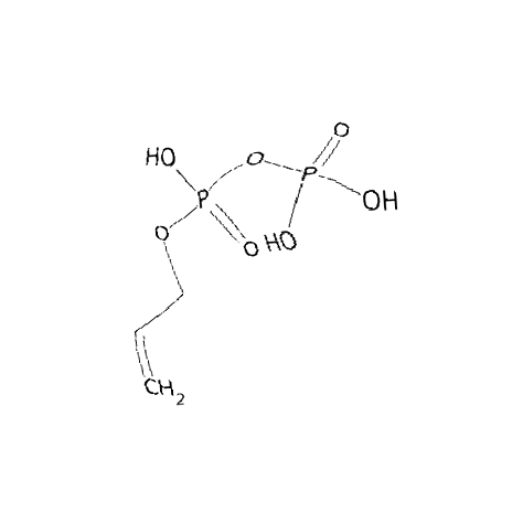 C=CCOP(=O)(O)OP(=O)(O)O